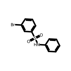 O=S(=O)(Nc1ccccc1)c1cccc(Br)c1